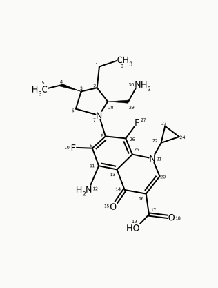 CCC1[C@H](CC)CN(c2c(F)c(N)c3c(=O)c(C(=O)O)cn(C4CC4)c3c2F)[C@@H]1CN